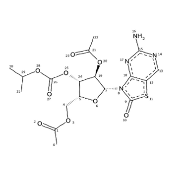 CC(=O)OC[C@H]1O[C@@H](n2c(=O)sc3cnc(N)nc32)[C@H](OC(C)=O)[C@H]1OC(=O)OC(C)C